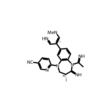 CN/C=C(\C=N)c1ccc2c(c1)N(c1ccc(C#N)cn1)C[C@@H](C)C(=N)N2C(C)=N